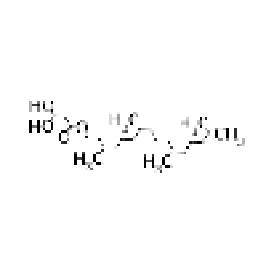 CC(C)CCCC(C)CCCC(C)CCCC(C)CCOC(=O)CC(O)O